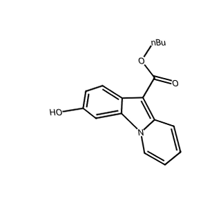 CCCCOC(=O)c1c2ccc(O)cc2n2ccccc12